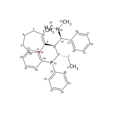 CC[C@@H]([C@@H](C1=C(C)CCCCC1)[C@H](c1ccccc1)N(C)C)P(c1ccccc1)c1ccccc1